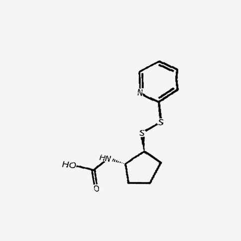 O=C(O)N[C@H]1CCC[C@@H]1SSc1ccccn1